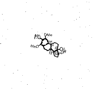 COc1cc2c(c(OC)c1O)CC[C@@H]1[C@@H]2CC[C@]2(C)[C@H](O)CC[C@@H]12